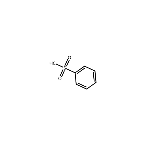 [CH]S(=O)(=O)c1ccccc1